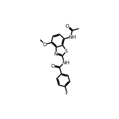 COc1ccc(NC(C)=O)c2sc(NC(=O)c3ccc(F)cc3)nc12